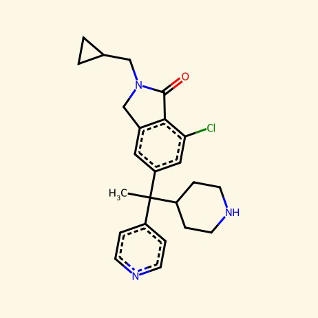 CC(c1ccncc1)(c1cc(Cl)c2c(c1)CN(CC1CC1)C2=O)C1CCNCC1